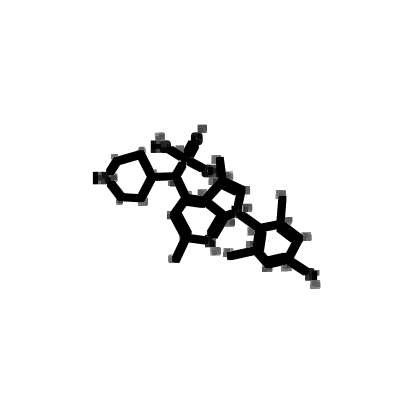 Cc1cc(C(C2CCNCC2)P(=O)(O)O)c2c(C)cn(-c3c(C)cc(Br)cc3C)c2n1